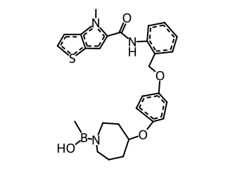 CB(O)N1CCCC(Oc2ccc(OCc3ccccc3NC(=O)c3cc4sccc4n3C)cc2)CC1